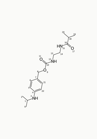 CC(C)Nc1ccc(COC(=O)NCCNC(=O)C(C)C)cc1